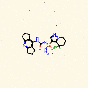 NS(=O)(=NC(=O)Nc1c2c(nc3c1CCC3)CCC2)c1cnn2c1C(F)(F)CCC2